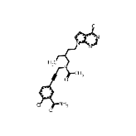 CCC(CCn1ccc2c(Cl)ncnc21)CN(CC#Cc1ccc(Cl)c(C(N)=O)c1)C(C)=O